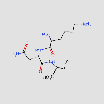 CC(C)C[C@H](NC(=O)[C@H](CC(N)=O)NC(=O)[C@@H](N)CCCCN)C(=O)O